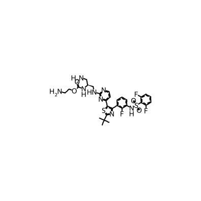 CC(C)(C)c1nc(-c2cccc(NS(=O)(=O)c3c(F)cccc3F)c2F)c(-c2ccnc(NC[C@H](CN)NC(=O)OCCN)n2)s1